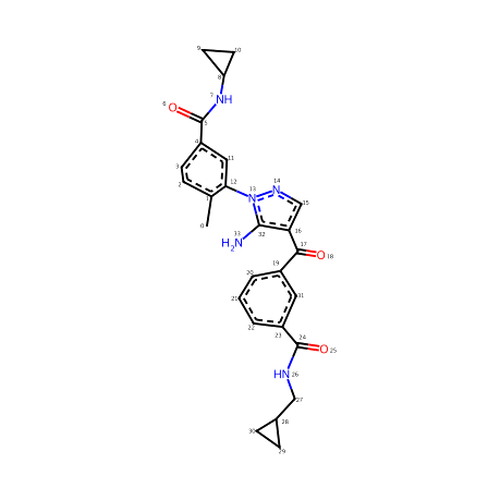 Cc1ccc(C(=O)NC2CC2)cc1-n1ncc(C(=O)c2cccc(C(=O)NCC3CC3)c2)c1N